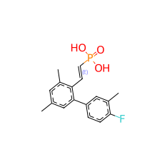 Cc1cc(C)c(/C=C/P(=O)(O)O)c(-c2ccc(F)c(C)c2)c1